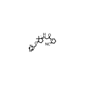 CC1(C)[C@H](OCn2cncn2)CC[C@]1(C)NCC(=O)N1CCC[C@H]1C#N